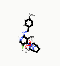 COc1ccc(CNc2ncc(F)c(N3CC4CCC(C3)N4C(=O)OC(C)(C)C)c2[N+](=O)[O-])cc1